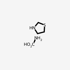 C1CSCN1.NC(=O)O